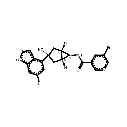 O=C(N[C@H]1[C@@H]2C[C@@](O)(c3cc(Cl)cc4[nH]ncc34)C[C@@H]21)c1cncc(Br)c1